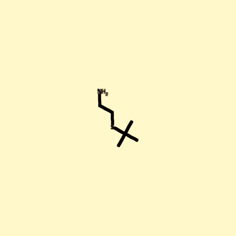 CC(C)(C)SCCN